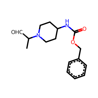 CC(C=O)N1CCC(NC(=O)OCc2ccccc2)CC1